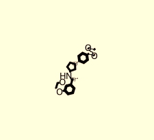 C[C@@H](NC1CC[C@H](c2ccc(S(C)(=O)=O)cc2)C1)c1cccc2c1OCCO2